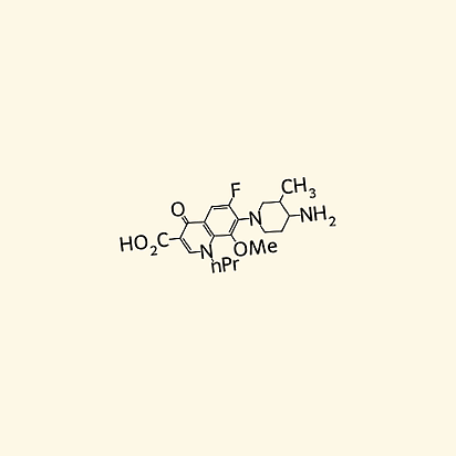 CCCn1cc(C(=O)O)c(=O)c2cc(F)c(N3CCC(N)C(C)C3)c(OC)c21